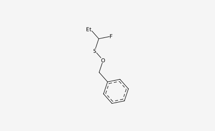 CCC(F)SOCc1ccccc1